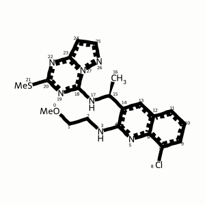 COCCNc1nc2c(Cl)cccc2cc1[C@H](C)Nc1nc(SC)nc2ccnn12